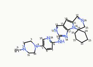 CC(C)N1CCN(c2ccc(Nc3ncc4cc5n(c4n3)C3(CCCCC3)CN=C5)nc2)CC1